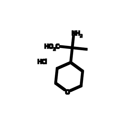 CC(N)(C(=O)O)C1CCOCC1.Cl